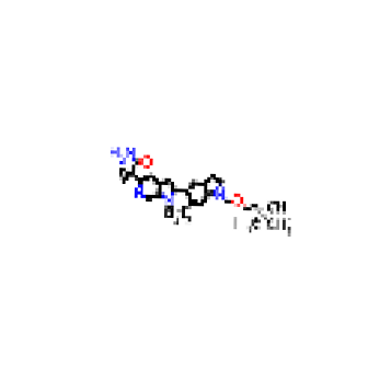 Cc1cc2c(ccn2COCC[Si](C)(C)C)cc1-c1cc2cc(C3(C(N)=O)CC3)ncc2n1C